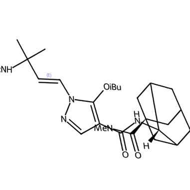 CNC(=O)[C@]12CC3CC(C1)[C@@H](NC(=O)c1cnn(/C=C/C(C)(C)NC(C)=O)c1OCC(C)C)C(C3)C2